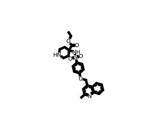 CCOC(=O)C1(NS(=O)(=O)c2ccc(OCc3cc(C)nc4ccccc34)cc2)CCNCC1